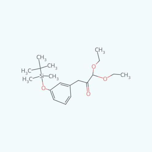 CCOC(OCC)C(=O)Cc1cccc(O[Si](C)(C)C(C)(C)C)c1